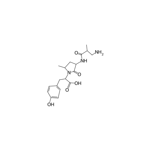 CC(CN)C(=O)NC1CC(C)N(C(Cc2ccc(O)cc2)C(=O)O)C1=O